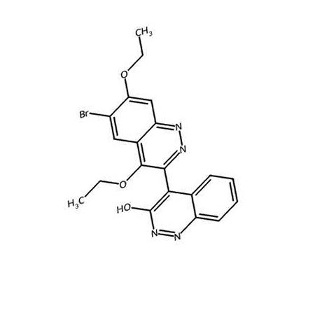 CCOc1cc2nnc(-c3c(O)nnc4ccccc34)c(OCC)c2cc1Br